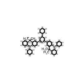 CC1(C)c2ccccc2N(c2ccccc2)c2ccc(-c3cc(-c4ccccc4)nc(-c4ccc5c(c4)C(C)(C)c4ccccc4N5c4ccccc4)n3)cc21